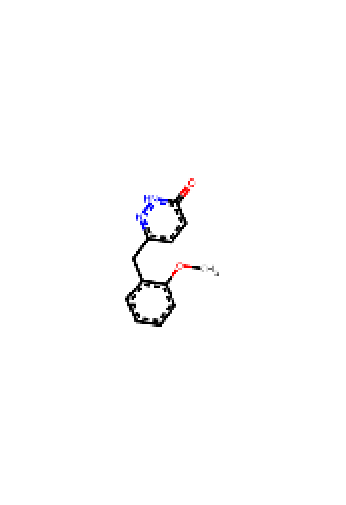 COc1ccccc1Cc1ccc(=O)[nH]n1